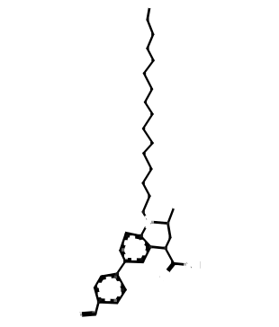 CCCCCCCCCCCCCCCCN1c2ccc(-c3ccc(C=O)cc3)cc2C(C(N)=O)CC1C